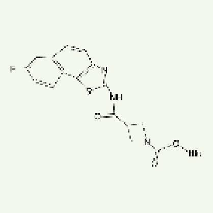 CC(C)(C)OC(=O)N1CC(C(=O)Nc2nc3ccc4cc(F)ccc4c3s2)C1